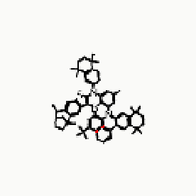 Cc1cc2c3c(c1)N(c1ccc4c(c1)C(C)(C)CCC4(C)C)c1sc4cc5c(cc4c1B3c1cc(C(C)(C)C)ccc1N2c1cc2c(cc1-c1ccccc1)C(C)(C)CCC2(C)C)C1(C)CCC(C1)C5C